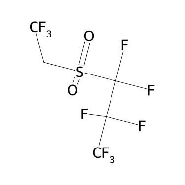 O=S(=O)(CC(F)(F)F)C(F)(F)C(F)(F)C(F)(F)F